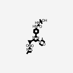 Cc1csc(S(=O)(=O)C2CC2c2cc(N3CCOC[C@@H]3C)nc(-c3ccc(NC(=O)NC(C)(C)O)cc3)n2)n1